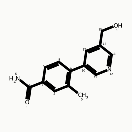 Cc1cc(C(N)=O)ccc1-c1cncc(CO)c1